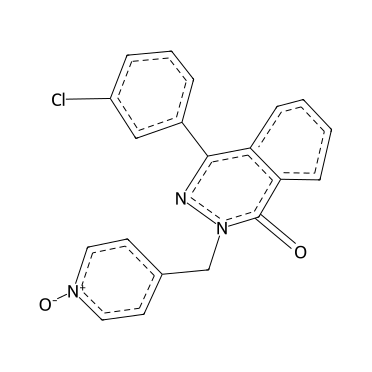 O=c1c2ccccc2c(-c2cccc(Cl)c2)nn1Cc1cc[n+]([O-])cc1